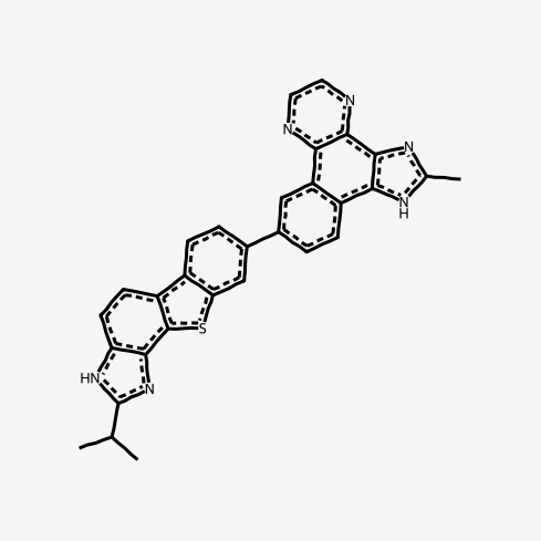 Cc1nc2c3nccnc3c3cc(-c4ccc5c(c4)sc4c5ccc5[nH]c(C(C)C)nc54)ccc3c2[nH]1